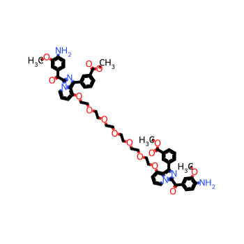 COC(=O)c1cccc(-c2nc(C(=O)c3ccc(N)c(OC)c3)n3cccc(OCCOCCOCCOCCOCCOCCOc4cccn5c(C(=O)c6ccc(N)c(OC)c6)nc(-c6cccc(C(=O)OC)c6)c45)c23)c1